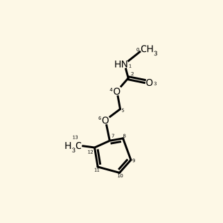 CNC(=O)OCOc1ccccc1C